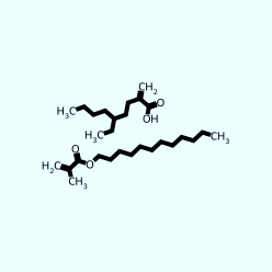 C=C(C)C(=O)OCCCCCCCCCCCC.C=C(CCC(CC)CCCC)C(=O)O